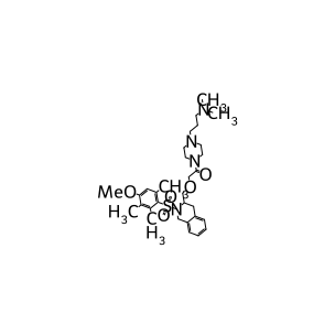 COc1cc(C)c(S(=O)(=O)N2Cc3ccccc3CC2COCC(=O)N2CCN(CCCN(C)C)CC2)c(C)c1C